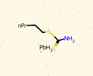 CCCCCSC(N)=S.[PbH2]